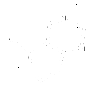 Clc1cccc2n[c]ncc12